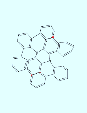 c1ccc(-c2cccc(-c3ccccc3)c2B2c3ccccc3N(c3c(-c4ccccc4)cccc3-c3ccccc3)c3ccccc32)cc1